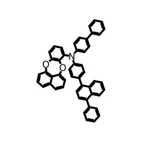 c1ccc(-c2ccc(N(c3ccc(-c4ccc(-c5ccccc5)c5ccccc45)cc3)c3cccc4c3Oc3cccc5cccc(c35)O4)cc2)cc1